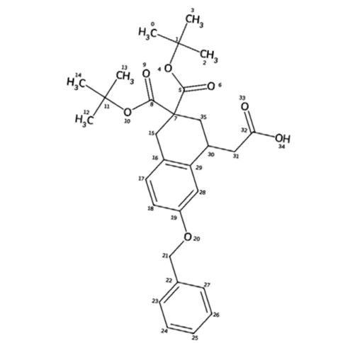 CC(C)(C)OC(=O)C1(C(=O)OC(C)(C)C)Cc2ccc(OCc3ccccc3)cc2C(CC(=O)O)C1